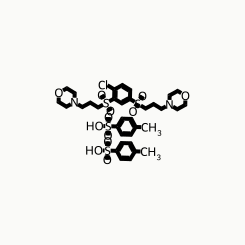 Cc1ccc(S(=O)(=O)O)cc1.Cc1ccc(S(=O)(=O)O)cc1.O=S(=O)(CCCN1CCOCC1)c1ccc(Cl)c(S(=O)(=O)CCCN2CCOCC2)c1